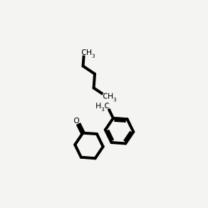 CCCCC.Cc1ccccc1.O=C1CCCCC1